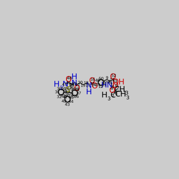 CC(C)(C)OC(=O)N[C@@H](Cc1ccc(OC(=O)NCCCC(=O)N[C@@H](CSC(c2ccccc2)(c2ccccc2)c2ccccc2)C(N)=O)cc1)C(=O)O